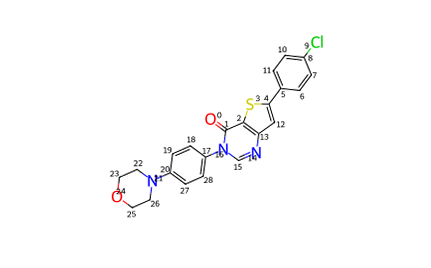 O=c1c2sc(-c3ccc(Cl)cc3)cc2ncn1-c1ccc(N2CCOCC2)cc1